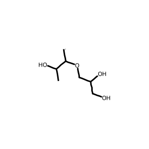 [CH2]C(OCC(O)CO)C(C)O